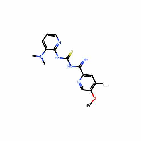 CC(C)Oc1cnc(C(=N)NC(=S)Nc2ncccc2N(C)C)cc1C(F)(F)F